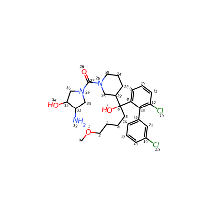 COCCCCC(O)(c1cccc(Cl)c1-c1cccc(Cl)c1)C1CCCN(C(=O)N2CC(N)C(O)C2)C1